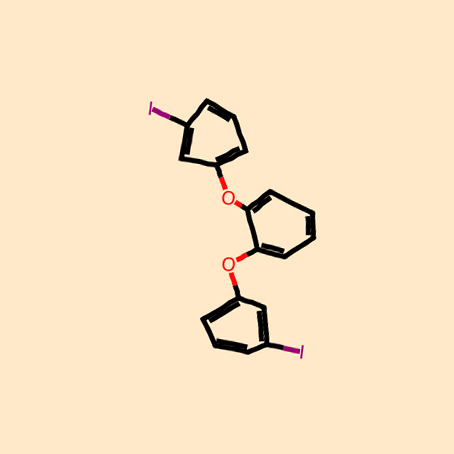 Ic1cccc(Oc2ccccc2Oc2cccc(I)c2)c1